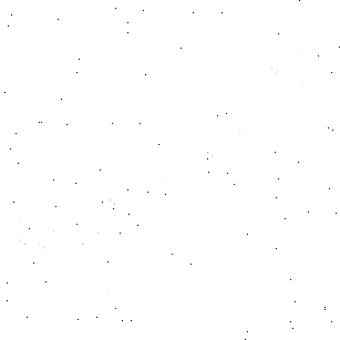 OC(Cn1cnnn1)(c1ccc(F)cc1F)C(F)(F)c1ccc(-c2ccc(N3CCN(c4ccc5[nH]c(C(F)(F)F)nc5c4)CC3)cc2)cn1